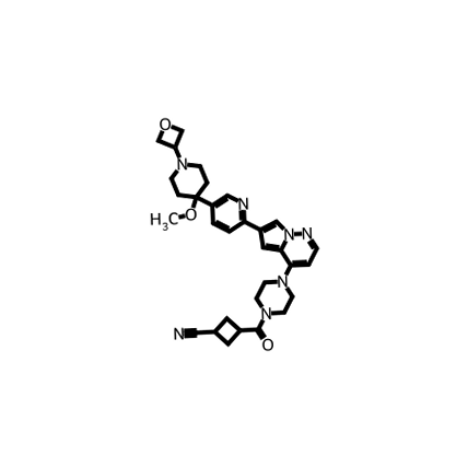 COC1(c2ccc(-c3cc4c(N5CCN(C(=O)C6CC(C#N)C6)CC5)ccnn4c3)nc2)CCN(C2COC2)CC1